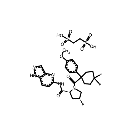 COc1ccc(C2(C(=O)N3C[C@H](F)C[C@@H]3C(=O)Nc3ccc4[nH]ncc4n3)CCC(F)(F)CC2)cc1.O=S(=O)(O)CCS(=O)(=O)O